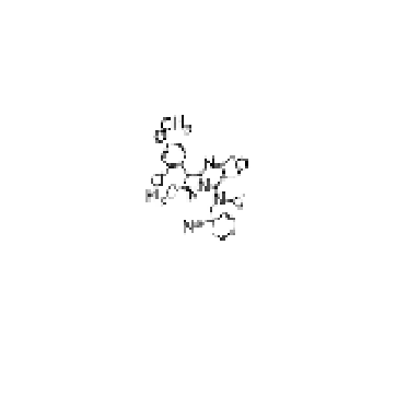 COc1ccc(-c2c(C)nn3c(N(CC4(C#N)C=CC=CC4)C4CC4)c4c(nc23)COC4)c(Cl)c1